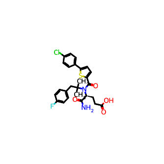 CC(C)(Cc1ccc(F)cc1)N(C(=O)c1ccc(-c2ccc(Cl)cc2)s1)[C@@H](CCC(=O)O)C(N)=O